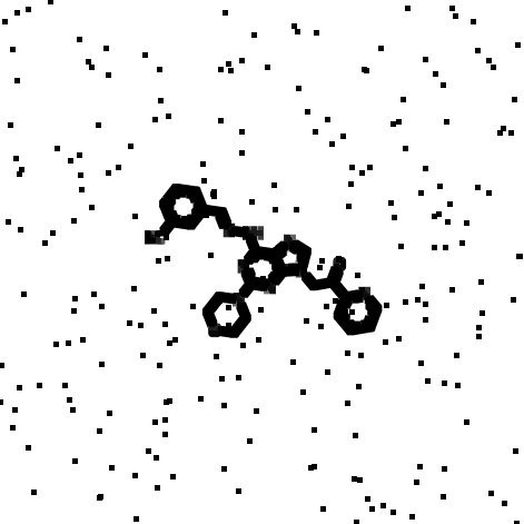 N#Cc1cccc(/C=N/Nc2nc(N3CCOCC3)nc3c2ncn3CC(=O)c2ccccn2)c1